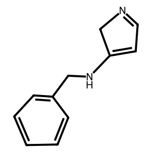 C1=NCC(NCc2ccccc2)=C1